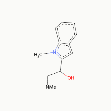 CNCC(O)c1cc2ccccc2n1C